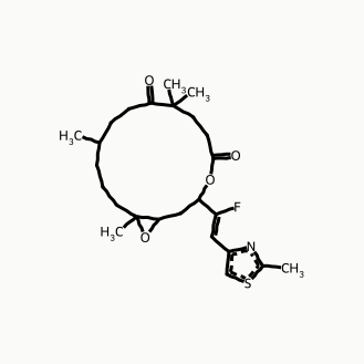 Cc1nc(C=C(F)C2CC3OC3(C)CCCC(C)CCC(=O)C(C)(C)CCC(=O)O2)cs1